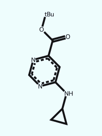 CC(C)(C)OC(=O)c1cc(NC2CC2)ncn1